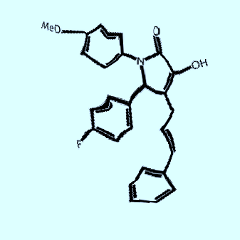 COc1ccc(N2C(=O)C(O)=C(CC=Cc3ccccc3)C2c2ccc(F)cc2)cc1